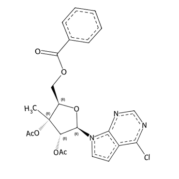 CC(=O)O[C@H]1[C@H](n2ccc3c(Cl)ncnc32)O[C@H](COC(=O)c2ccccc2)[C@@]1(C)OC(C)=O